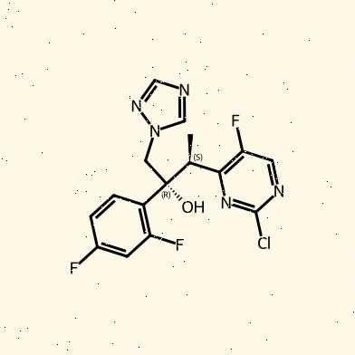 C[C@@H](c1nc(Cl)ncc1F)[C@](O)(Cn1cncn1)c1ccc(F)cc1F